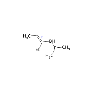 C/C=C(/BP(C)C)CC